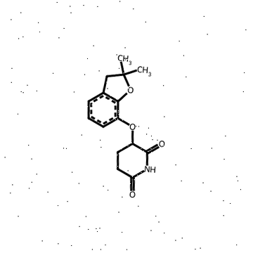 CC1(C)Cc2cccc(OC3CCC(=O)NC3=O)c2O1